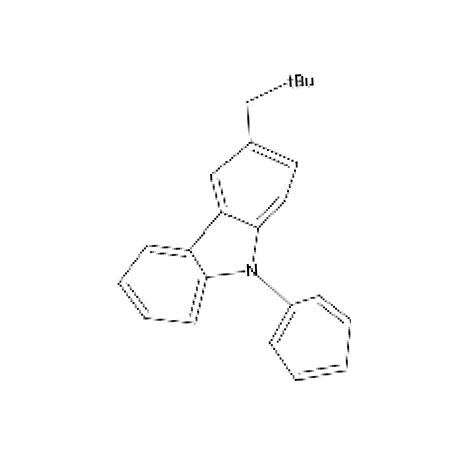 CC(C)(C)Cc1ccc2c(c1)c1ccccc1n2-c1ccccc1